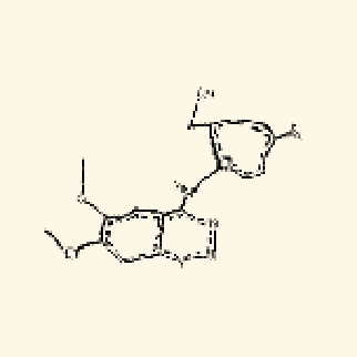 COc1cc2ncnc(Nc3ccc(Br)cc3CO)c2cc1OC